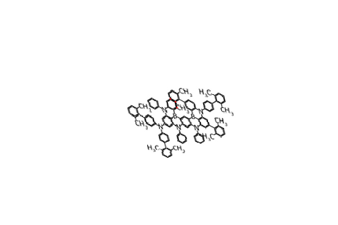 Cc1cccc(C)c1-c1ccc(N(c2ccc(-c3c(C)cccc3C)cc2)c2cc3c4c(c2)N(c2ccccc2)c2cc5c(cc2B4c2ccccc2N3c2ccccc2)B2c3cc(-c4c(C)cccc4C)ccc3N(c3ccc(-c4c(C)cccc4C)cc3)c3cc(-c4c(C)cccc4C)cc(c32)N5c2ccccc2)cc1